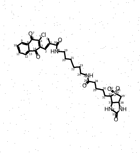 C/C(=C\C1=C(Cl)C(=O)c2ccccc2C1=O)C(=O)NCCCCCCNC(=O)CCCCC1C2NC(=O)NC2CS1(=O)=O